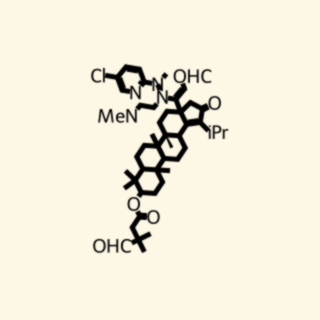 CNCCN(/C(=C\C=O)C12CC[C@]3(C)C(CCC4C5(C)CCC(OC(=O)CC(C)(C)C=O)C(C)(C)C5CCC43C)C1=C(C(C)C)C(=O)C2)N(C)c1ccc(Cl)cn1